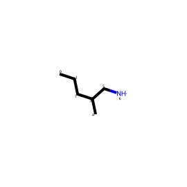 CCCC(C)C[NH]